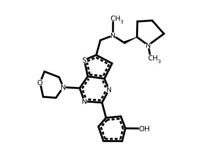 CN(Cc1cc2nc(-c3cccc(O)c3)nc(N3CCOCC3)c2s1)C[C@H]1CCCN1C